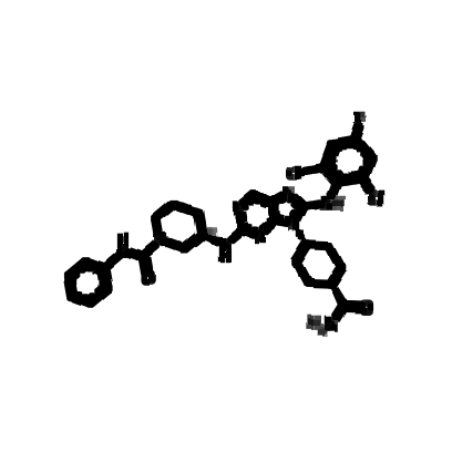 NC(=O)[C@H]1CC[C@H](n2c(Nc3c(Cl)cc(F)cc3Cl)nc3cnc(N[C@@H]4CCCN(C(=O)Nc5ccccc5)C4)nc32)CC1